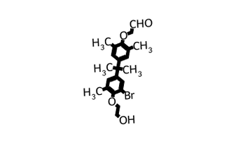 Cc1cc(C(C)(C)c2cc(C)c(OCCO)c(Br)c2)cc(C)c1OCC=O